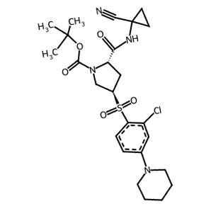 CC(C)(C)OC(=O)N1C[C@H](S(=O)(=O)c2ccc(N3CCCCC3)cc2Cl)C[C@H]1C(=O)NC1(C#N)CC1